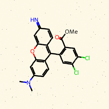 COC(=O)c1cc(Cl)c(Cl)cc1-c1c2ccc(=N)cc-2oc2cc(N(C)C)ccc12